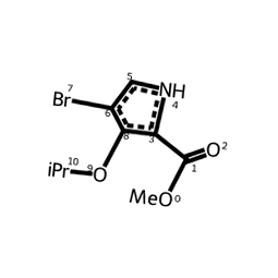 COC(=O)c1[nH]cc(Br)c1OC(C)C